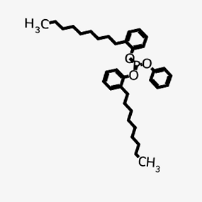 CCCCCCCCCc1ccccc1OP(Oc1ccccc1)Oc1ccccc1CCCCCCCCC